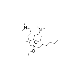 CCCCCC[Si](CC(C)(CCCN(C)C)CCCN(C)C)(OCC)OCC